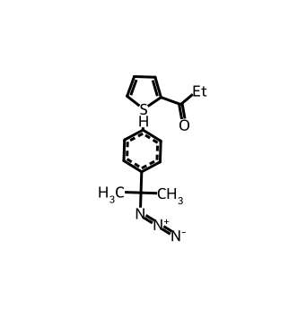 CCC(=O)C1=CC=C[SH]1c1ccc(C(C)(C)N=[N+]=[N-])cc1